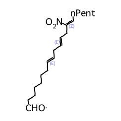 CCCCC/C=C(/C/C=C/C/C=C/CCCCCC[C]=O)[N+](=O)[O-]